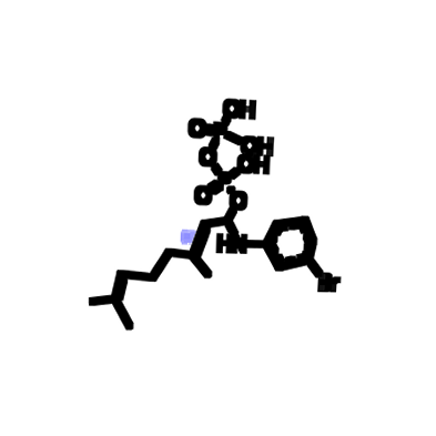 CC(C)=CCC/C(C)=C/C(Nc1cccc(Br)c1)OP(=O)(O)OP(=O)(O)O